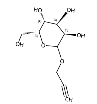 C#CCOC1O[C@H](CO)[C@H](O)[C@@H](O)[C@H]1O